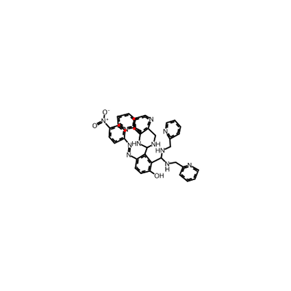 O=[N+]([O-])c1ccc(N=Nc2ccc(O)c(C(NCc3ccccn3)NCc3ccccn3)c2C(NCc2ccccn2)NCc2ccccn2)cc1